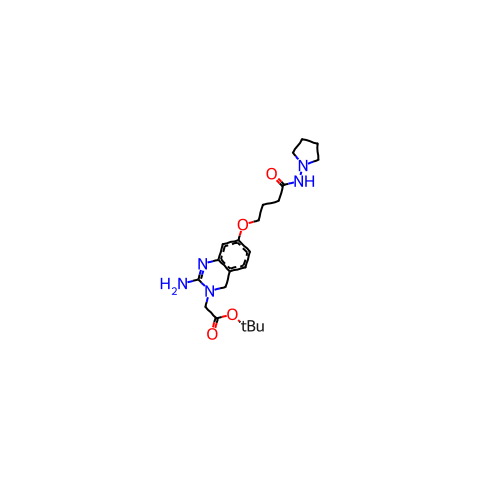 CC(C)(C)OC(=O)CN1Cc2ccc(OCCCC(=O)NN3CCCC3)cc2N=C1N